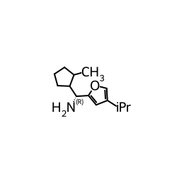 CC(C)c1coc([C@H](N)C2CCCC2C)c1